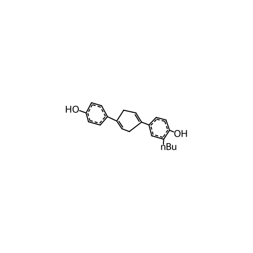 CCCCc1cc(C2=CCC(c3ccc(O)cc3)=CC2)ccc1O